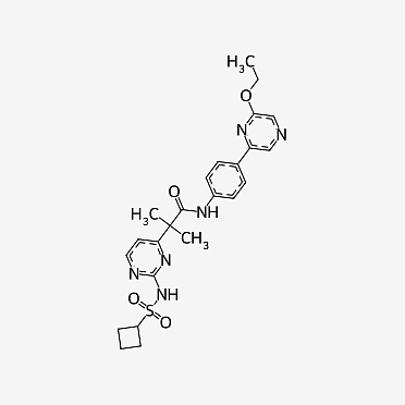 CCOc1cncc(-c2ccc(NC(=O)C(C)(C)c3ccnc(NS(=O)(=O)C4CCC4)n3)cc2)n1